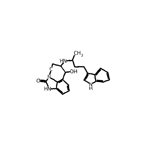 CC(CCc1c[nH]c2ccccc12)NC1CCn2c(=O)[nH]c3cccc(c32)C1O